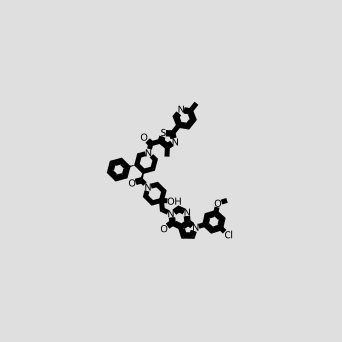 COc1cc(Cl)cc(-n2ccc3c(=O)n(CC4(O)CCN(C(=O)[C@@H]5CCN(C(=O)c6sc(-c7ccc(C)nc7)nc6C)C[C@H]5c5ccccc5)CC4)cnc32)c1